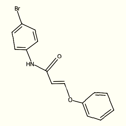 O=C(C=COc1ccccc1)Nc1ccc(Br)cc1